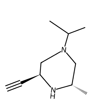 C#C[C@H]1CN(C(C)C)C[C@H](C)N1